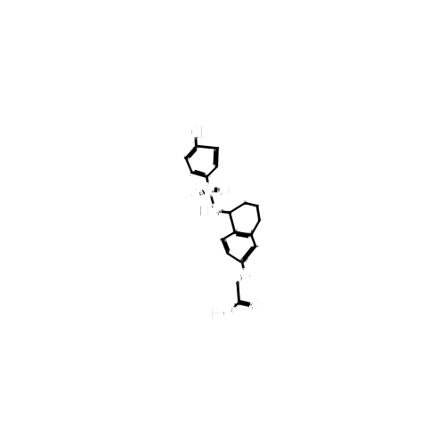 O=C(O)COc1ccc2c(c1)CCCC2NS(=O)(=O)c1ccc(Cl)cc1